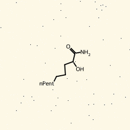 CCCCCCCCC(O)C(N)=O